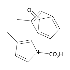 CC1=CC2=CC=C1C2=O.Cc1ccn(C(=O)O)c1